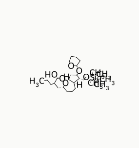 CCCC(C[C@H]1CCC[C@@H]2[C@@H](CO[Si](C)(C)C(C)(C)C)[C@H](OC3CCCCO3)C[C@@H]2O1)C(=O)O